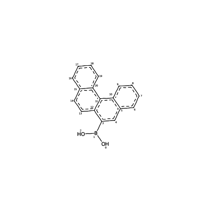 OB(O)c1cc2ccccc2c2c1ccc1ccccc12